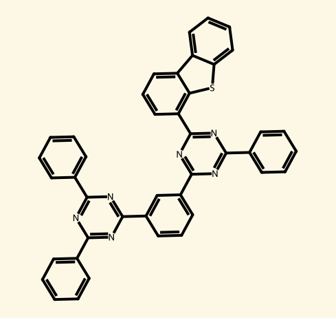 c1ccc(-c2nc(-c3ccccc3)nc(-c3cccc(-c4nc(-c5ccccc5)nc(-c5cccc6c5sc5ccccc56)n4)c3)n2)cc1